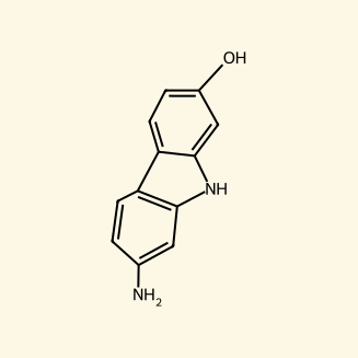 Nc1ccc2c(c1)[nH]c1cc(O)ccc12